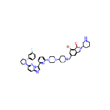 O=C1c2c(Br)cc(CN3CCC(N4CCN(c5cccc(-c6cnc7ccc(N8CCC[C@@H]8c8cccc(F)c8)nn67)n5)CC4)CC3)cc2CN1C1CCCNC1